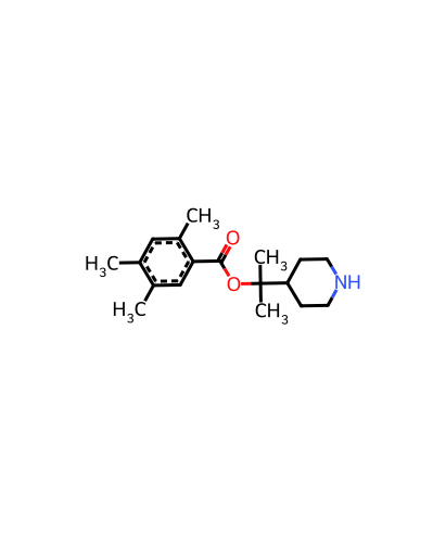 Cc1cc(C)c(C(=O)OC(C)(C)C2CCNCC2)cc1C